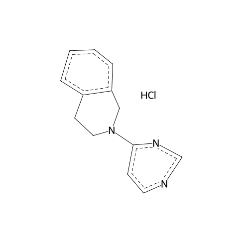 Cl.c1ccc2c(c1)CCN(c1ccncn1)C2